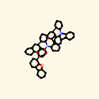 c1cc(-c2ccccc2N(c2ccc(-c3cccc4c3oc3ccccc34)cc2)c2ccccc2-c2cc3ccccc3c3ccccc23)cc(-c2ccccc2-n2c3ccccc3c3ccccc32)c1